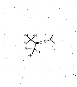 C[S+](C)[O-].[2H]C([2H])([2H])C(=O)C([2H])([2H])[2H]